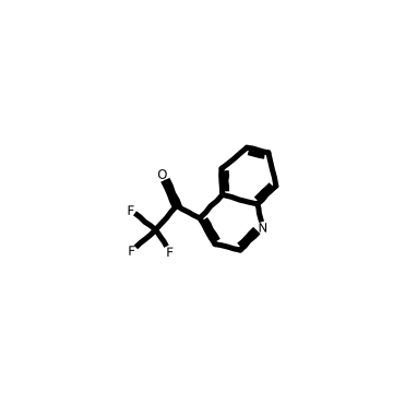 O=C(c1ccnc2ccccc12)C(F)(F)F